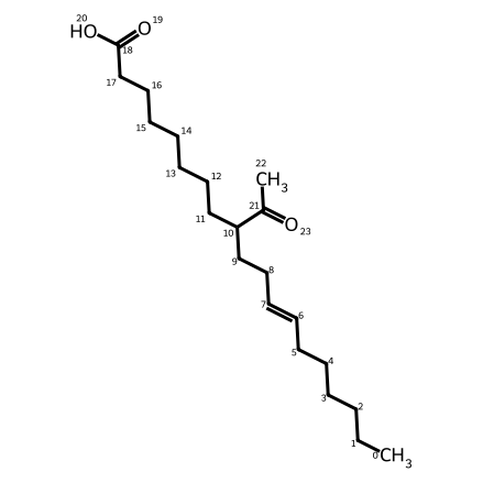 CCCCCCC=CCCC(CCCCCCCC(=O)O)C(C)=O